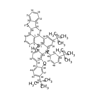 CB1c2cccc3c2C(CC2c4ccccc4SC32)c2cc(C(C)(C)C)cc(N(c3cccc4c3oc3cc(C(C)(C)C)ccc34)C3C=CC=C(C(C)(C)C)C3)c21